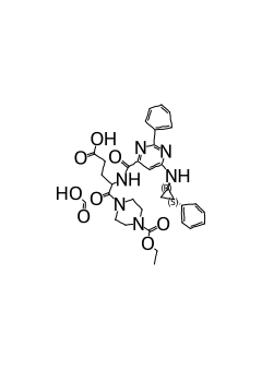 CCOC(=O)N1CCN(C(=O)C(CCC(=O)O)NC(=O)c2cc(N[C@@H]3C[C@H]3c3ccccc3)nc(-c3ccccc3)n2)CC1.O=CO